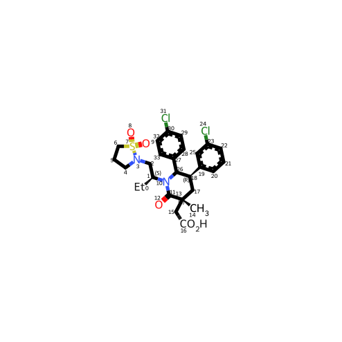 CC[C@@H](CN1CCCS1(=O)=O)N1C(=O)[C@@](C)(CC(=O)O)C[C@H](c2cccc(Cl)c2)C1c1ccc(Cl)cc1